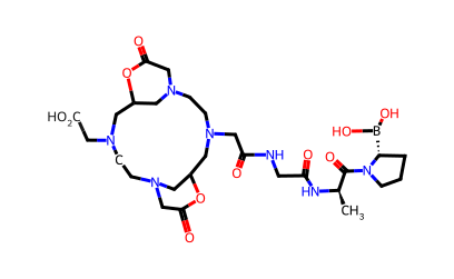 C[C@@H](NC(=O)CNC(=O)CN1CCN2CC(=O)OC(CN(CC(=O)O)CCN3CC(=O)OC(C1)C3)C2)C(=O)N1CCC[C@H]1B(O)O